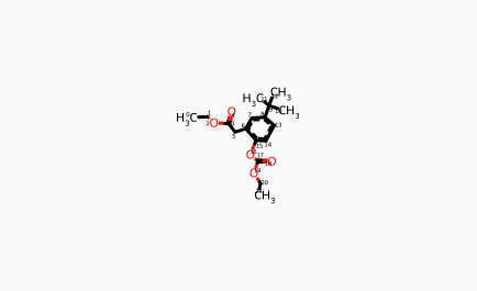 CCOC(=O)Cc1cc(C(C)(C)C)ccc1OC(=O)OCC